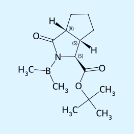 CB(C)N1C(=O)[C@@H]2CCC[C@@H]2[C@H]1C(=O)OC(C)(C)C